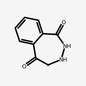 O=C1[C]NNC(=O)c2ccccc21